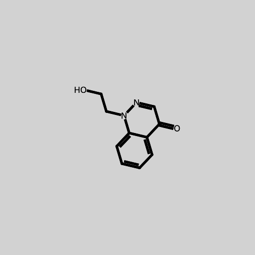 O=c1cnn(CCO)c2ccccc12